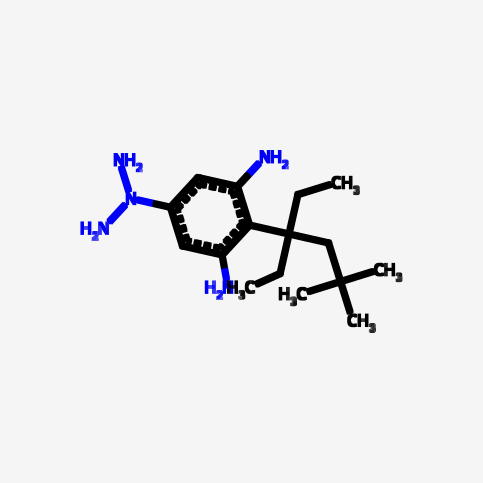 CCC(CC)(CC(C)(C)C)c1c(N)cc(N(N)N)cc1N